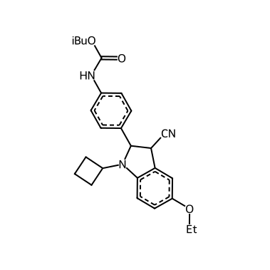 CCOc1ccc2c(c1)C(C#N)C(c1ccc(NC(=O)OCC(C)C)cc1)N2C1CCC1